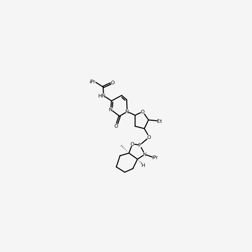 CCC1OC(n2ccc(NC(=O)C(C)C)nc2=O)CC1OP1O[C@]2(C)CCCC[C@@H]2N1C(C)C